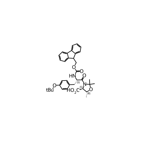 C[C@H]1OC(C)(C)N(C(=O)[C@H](Cc2ccc(OC(C)(C)C)cc2)NC(=O)OCC2c3ccccc3-c3ccccc32)[C@@H]1C(=O)O